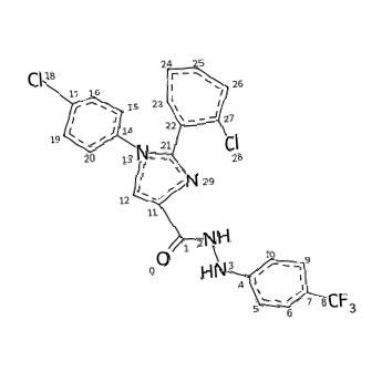 O=C(NNc1ccc(C(F)(F)F)cc1)c1cn(-c2ccc(Cl)cc2)c(-c2ccccc2Cl)n1